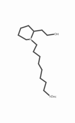 CCCCCCCCCCCCCCCCCCN1CCCCC1CCO